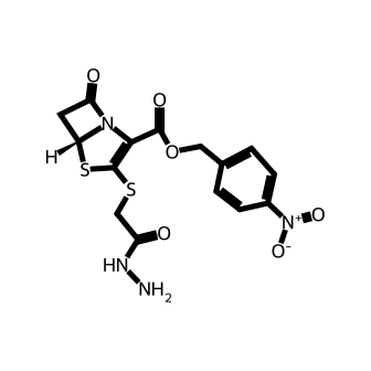 NNC(=O)CSC1=C(C(=O)OCc2ccc([N+](=O)[O-])cc2)N2C(=O)C[C@H]2S1